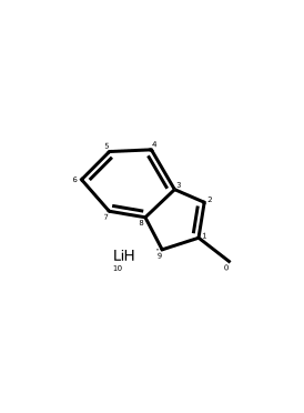 CC1=Cc2ccccc2[CH]1.[LiH]